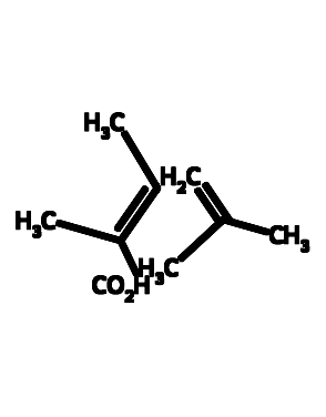 C/C=C(\C)C(=O)O.C=C(C)C